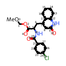 COCOC(=O)C(Cc1cc(=O)[nH]c2ccccc12)NC(=O)c1ccc(Cl)cc1